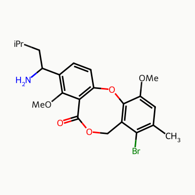 COc1cc(C)c(Br)c2c1Oc1ccc(C(N)CC(C)C)c(OC)c1C(=O)OC2